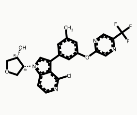 Cc1cc(Oc2cnc(C(F)(F)F)cn2)cc(-c2cn([C@@H]3COC[C@@H]3O)c3ccnc(Cl)c23)c1